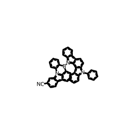 N#Cc1ccc2c3cccc4c3n(c2c1)-c1ccccc1B4n1c2ccccc2c2ccc3c(c4ccccc4n3-c3ccccc3)c21